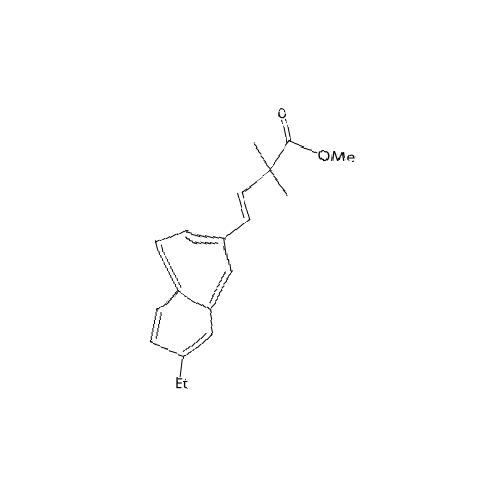 CCc1ccc2ccc(/C=C/C(C)(C)C(=O)OC)cc2c1